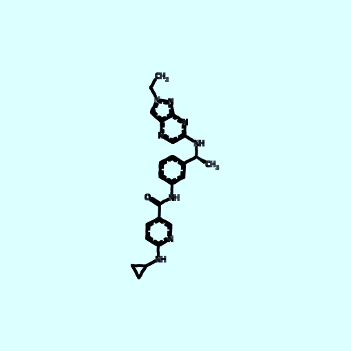 CCn1cc2ncc(N[C@@H](C)c3cccc(NC(=O)c4ccc(NC5CC5)nc4)c3)nc2n1